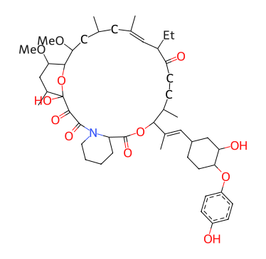 CCC1/C=C(\C)CC(C)CC(OC)C2OC(O)(C(=O)C(=O)N3CCCCC3C(=O)OC(C(C)=CC3CCC(Oc4ccc(O)cc4)C(O)C3)C(C)CCC1=O)C(C)CC2OC